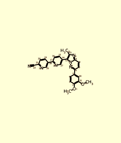 COc1ccc(-c2ccc3nc(C)c(-c4ccc(-c5ccc(C#N)nc5)nc4)n3n2)cc1OC